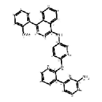 COc1ccccc1-c1nnc(Nc2ccc(Oc3ncccc3-c3ccnc(N)n3)nc2)c2ccccc12